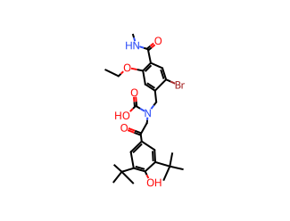 CCOc1cc(CN(CC(=O)c2cc(C(C)(C)C)c(O)c(C(C)(C)C)c2)C(=O)O)c(Br)cc1C(=O)NC